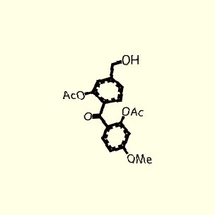 COc1ccc(C(=O)c2ccc(CO)cc2OC(C)=O)c(OC(C)=O)c1